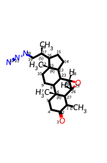 CC1C(=O)CC[C@]2(C)C3CC[C@@]4(C)C(CCC4[C@H](C)CN=[N+]=[N-])C3[C@@H]3O[C@@H]3C12